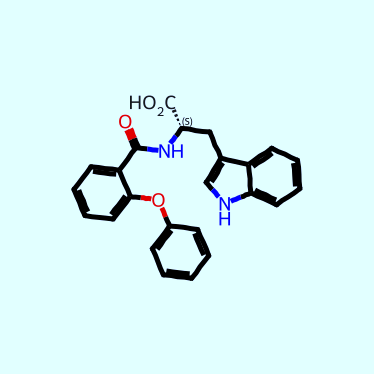 O=C(N[C@@H](Cc1c[nH]c2ccccc12)C(=O)O)c1ccccc1Oc1ccccc1